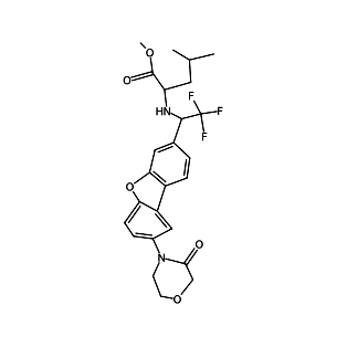 COC(=O)C(CC(C)C)NC(c1ccc2c(c1)oc1ccc(N3CCOCC3=O)cc12)C(F)(F)F